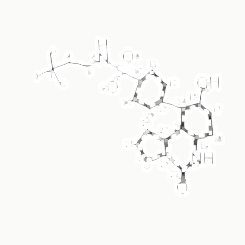 CC(C)(C)CCNS(=O)(=O)c1ccc(-c2c(O)ccc3[nH]c(=O)c4sccc4c23)cc1